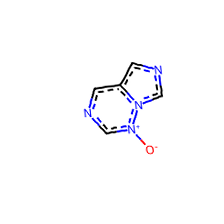 [O-][n+]1cncc2cncn21